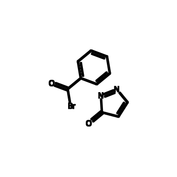 O=C(Br)c1ccccc1.O=C1C=CN=N1